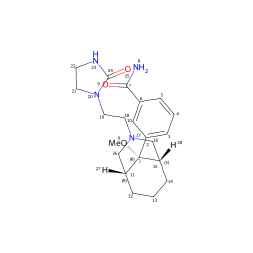 CO[C@@]1(c2cccc(C(N)=O)c2)[C@@H]2CCC[C@H]1CN(CCN1CCNC1=O)C2